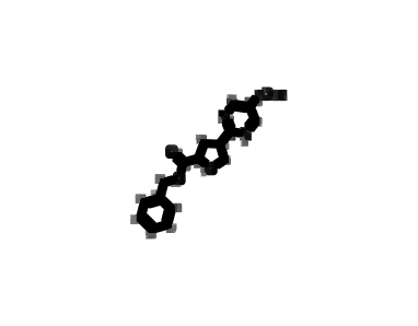 CCCCCCCCCCc1cnc(C2COC(C(=O)OCc3ccccc3)C2)nc1